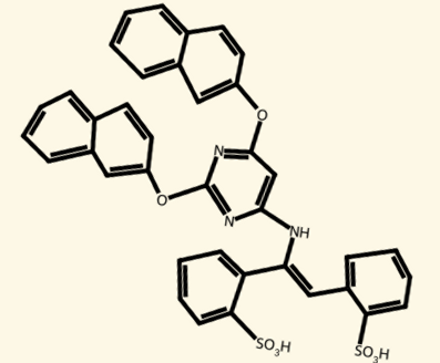 O=S(=O)(O)c1ccccc1C=C(Nc1cc(Oc2ccc3ccccc3c2)nc(Oc2ccc3ccccc3c2)n1)c1ccccc1S(=O)(=O)O